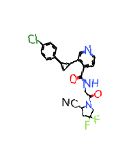 N#C[C@@H]1CC(F)(F)CN1C(=O)CNC(=O)c1ccncc1C1CC1c1ccc(Cl)cc1